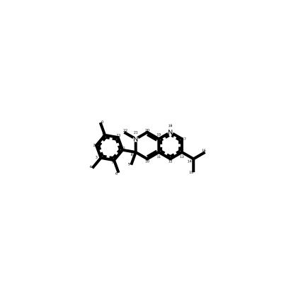 Cc1cc(C)c(C)c(C2(C)C=c3cc(C(C)C)cnc3=CN2C)c1